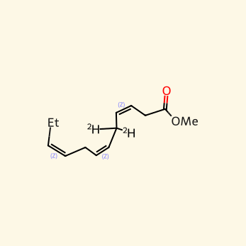 [2H]C([2H])(/C=C\C/C=C\CC)/C=C\CC(=O)OC